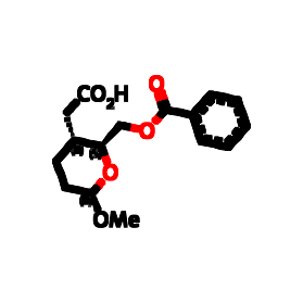 CO[C@H]1CC[C@H](CC(=O)O)[C@@H](COC(=O)c2ccccc2)O1